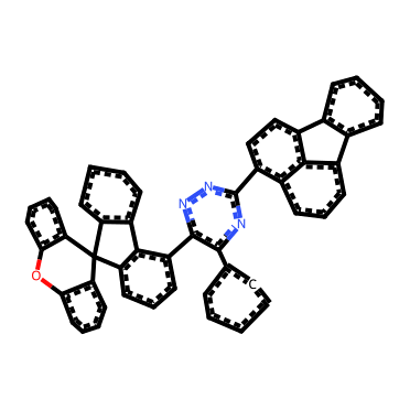 c1ccc(-c2nc(-c3ccc4c5c(cccc35)-c3ccccc3-4)nnc2-c2cccc3c2-c2ccccc2C32c3ccccc3Oc3ccccc32)cc1